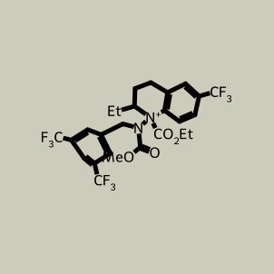 CCOC(=O)[N+]1(N(Cc2cc(C(F)(F)F)cc(C(F)(F)F)c2)C(=O)OC)c2ccc(C(F)(F)F)cc2CCC1CC